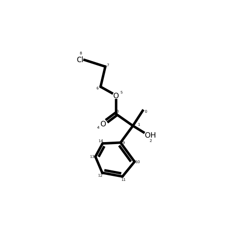 CC(O)(C(=O)OCCCl)c1ccccc1